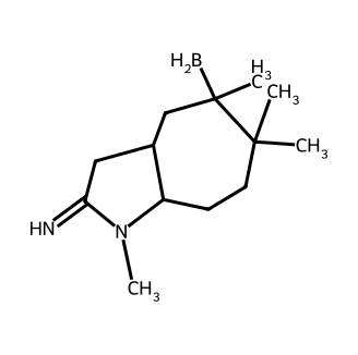 BC1(C)CC2CC(=N)N(C)C2CCC1(C)C